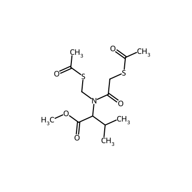 COC(=O)C(C(C)C)N(CSC(C)=O)C(=O)CSC(C)=O